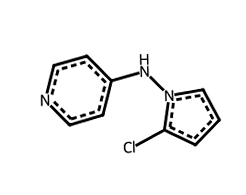 Clc1cccn1Nc1ccncc1